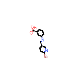 O=C(O)c1cccc(N=Cc2ccc(Br)nc2)c1